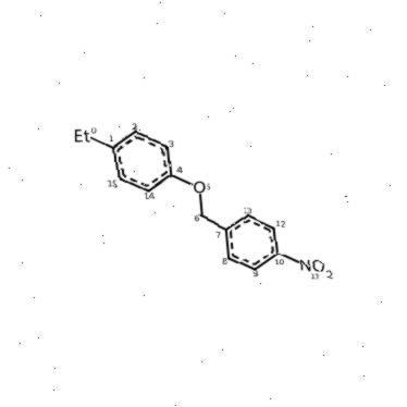 CCc1ccc(OCc2ccc([N+](=O)[O-])cc2)cc1